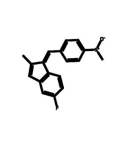 CC1=Cc2cc(F)ccc2C1=Cc1ccc([S+](C)[O-])cc1